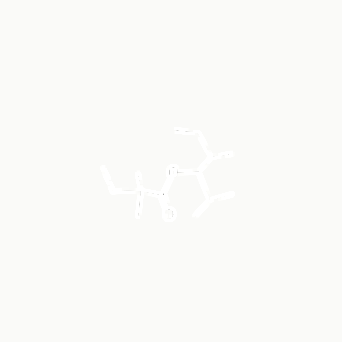 CCC(C)C(OC(=O)C(C)(C)CC)C(C)C